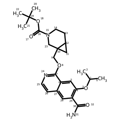 CC(C)Oc1cc2c(OCC34CC3CCN(C(=O)OC(C)(C)C)C4)nccc2cc1C(N)=O